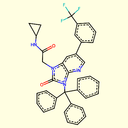 O=C(Cn1c(=O)n(C(c2ccccc2)(c2ccccc2)c2ccccc2)c2ncc(-c3cccc(C(F)(F)F)c3)cc21)NC1CC1